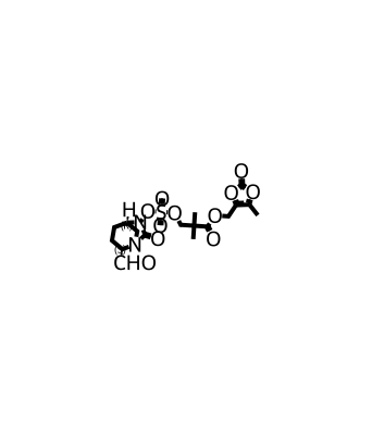 Cc1oc(=O)oc1COC(=O)C(C)(C)COS(=O)(=O)ON1C(=O)N2C[C@H]1CC[C@H]2C=O